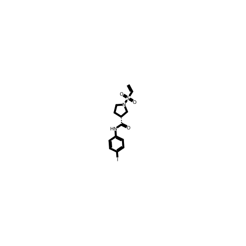 C=CS(=O)(=O)N1CC[C@@H](C(=O)Nc2ccc(I)cc2)C1